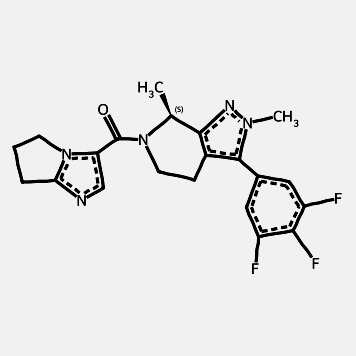 C[C@H]1c2nn(C)c(-c3cc(F)c(F)c(F)c3)c2CCN1C(=O)c1cnc2n1CCC2